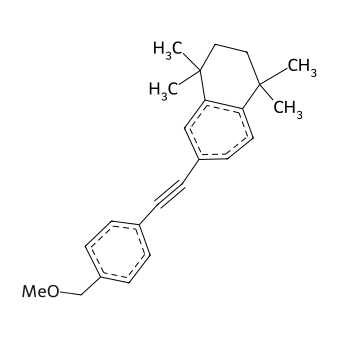 COCc1ccc(C#Cc2ccc3c(c2)C(C)(C)CCC3(C)C)cc1